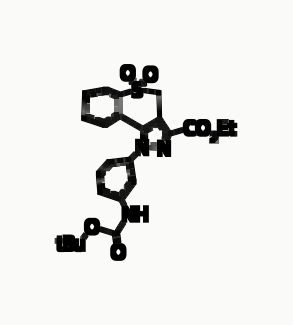 CCOC(=O)c1nn(-c2cccc(NC(=O)OC(C)(C)C)c2)c2c1CS(=O)(=O)c1ccccc1-2